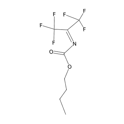 CCCCOC(=O)N=C(C(F)(F)F)C(F)(F)F